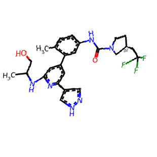 Cc1ccc(NC(=O)N2CC[C@@H](CC(F)(F)F)C2)cc1-c1cc(NC(C)CO)nc(-c2cn[nH]c2)c1